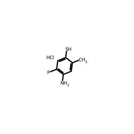 Cc1cc(N)c(F)cc1S.Cl